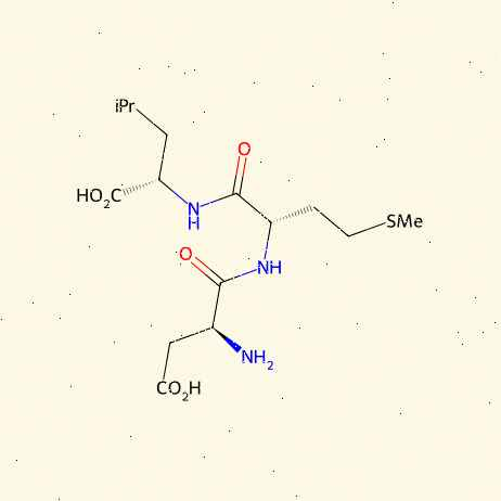 CSCC[C@H](NC(=O)[C@@H](N)CC(=O)O)C(=O)N[C@@H](CC(C)C)C(=O)O